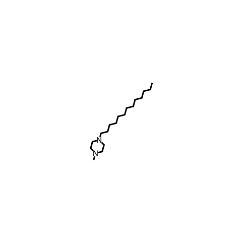 CCCCCCCCCCCCCN1CCN(C)CC1